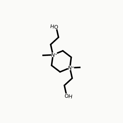 C[N+]1(CCO)CC[N+](C)(CCO)CC1